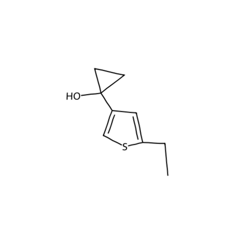 CCc1cc(C2(O)CC2)cs1